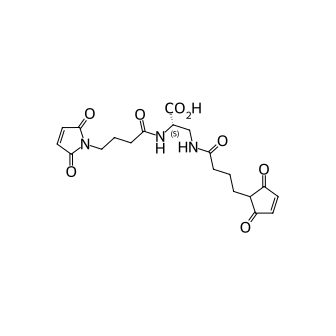 O=C(CCCC1C(=O)C=CC1=O)NC[C@H](NC(=O)CCCN1C(=O)C=CC1=O)C(=O)O